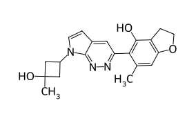 Cc1cc2c(c(O)c1-c1cc3ccn(C4CC(C)(O)C4)c3nn1)CCO2